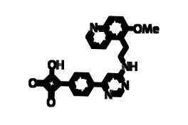 COc1ccc2ncccc2c1CCNc1cc(-c2ccc(-c3c(O)c(=O)c3=O)cc2)ncn1